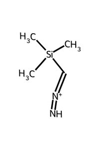 C[Si](C)(C)C=[N+]=N